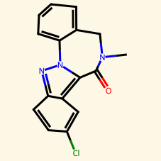 CN1Cc2ccccc2-n2nc3ccc(Cl)cc3c2C1=O